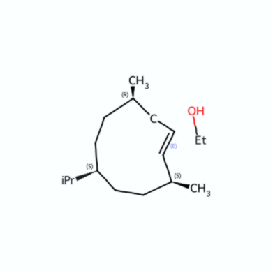 CC(C)[C@H]1CC[C@@H](C)C/C=C/[C@@H](C)CC1.CCO